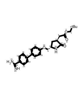 CC(C)(C)COC(=O)C[C@@H]1C[C@@H](COc2ccc(-c3ccc(C(=N)N)cc3)cc2)NC1=O